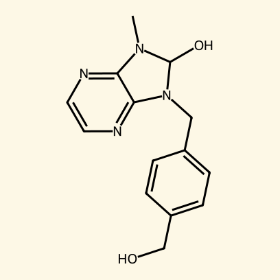 CN1c2nccnc2N(Cc2ccc(CO)cc2)C1O